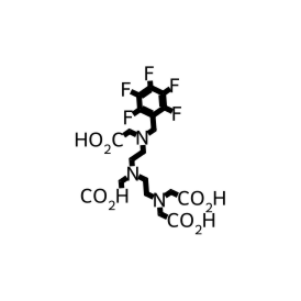 O=C(O)CN(CCN(CC(=O)O)CC(=O)O)CCN(CC(=O)O)Cc1c(F)c(F)c(F)c(F)c1F